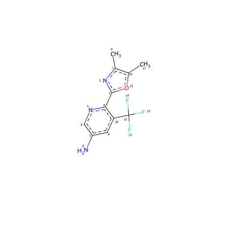 Cc1nc(-c2ncc(N)cc2C(F)(F)F)oc1C